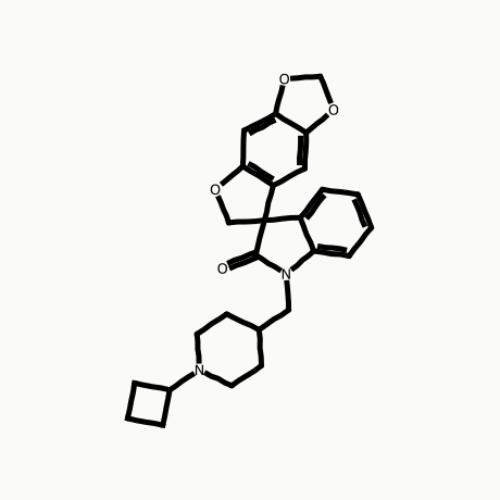 O=C1N(CC2CCN(C3CCC3)CC2)c2ccccc2C12COc1cc3c(cc12)OCO3